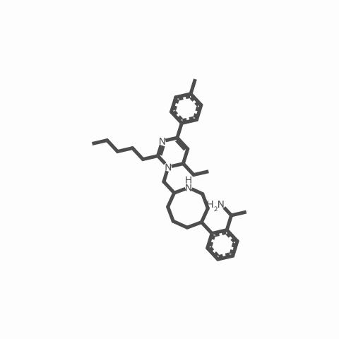 CCCCCC1=NC(c2ccc(C)cc2)=CC(CC)N1CC1CCCC(c2ccccc2C(C)N)CCN1